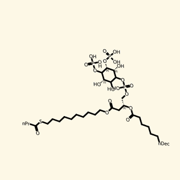 CCCCCCCCCCCCCCCC(=O)O[C@@H](COP(=O)(O)OC1C(O)[C@H](O)C(OP(=O)(O)O)[C@H](OP(=O)(O)O)[C@@H]1O)CC(=O)OCCCCCCCCCCSC(=O)CCC